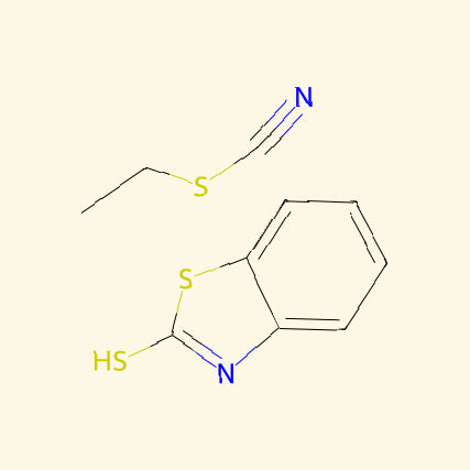 CCSC#N.Sc1nc2ccccc2s1